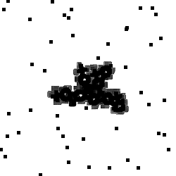 CC(C)(C)c1ccc(Nc2cc3c(cc2-c2ccc4c5cc6c(cc5n5c4c2Bc2cc4c(cc2-5)-c2ccccc2C4(C)C)C(C)(C)c2ccccc2-6)sc2cc(C(C)(C)C)ccc23)cc1